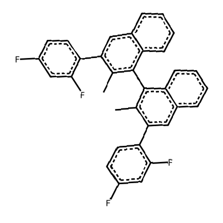 Cc1c(-c2ccc(F)cc2F)cc2ccccc2c1-c1c(C)c(-c2ccc(F)cc2F)cc2ccccc12